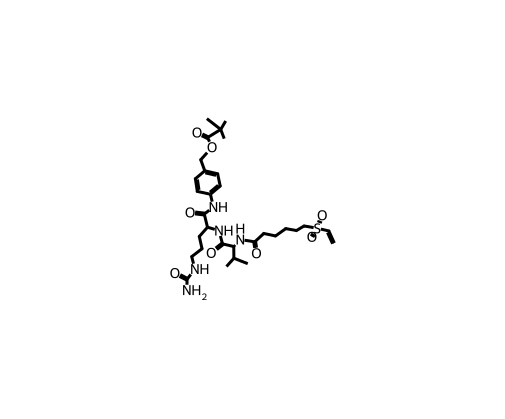 C=CS(=O)(=O)CCCCCC(=O)N[C@H](C(=O)NC(CCCNC(N)=O)C(=O)Nc1ccc(COC(=O)C(C)(C)C)cc1)C(C)C